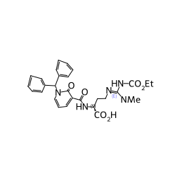 CCOC(=O)N/C(=N/CC[C@H](NC(=O)c1cccn(C(c2ccccc2)c2ccccc2)c1=O)C(=O)O)NC